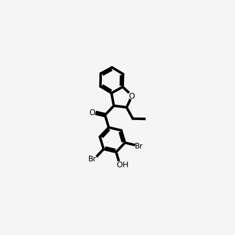 CCC1Oc2ccccc2C1C(=O)c1cc(Br)c(O)c(Br)c1